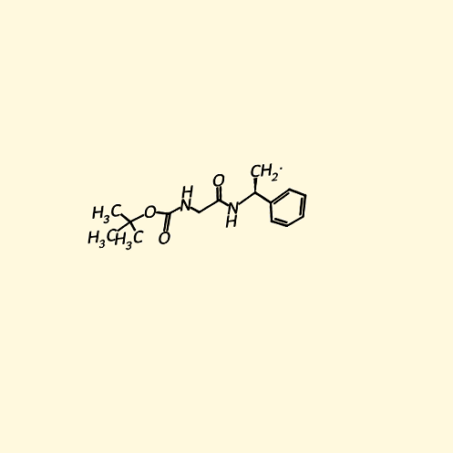 [CH2][C@H](NC(=O)CNC(=O)OC(C)(C)C)c1ccccc1